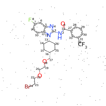 O=C(Nc1nc2cc(F)ccc2n1[C@H]1CC[C@@H](COCCOCCBr)CC1)c1cccc(C(F)(F)F)c1